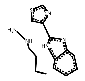 CCCCNN.c1ccc2[nH]c(-c3cscn3)nc2c1